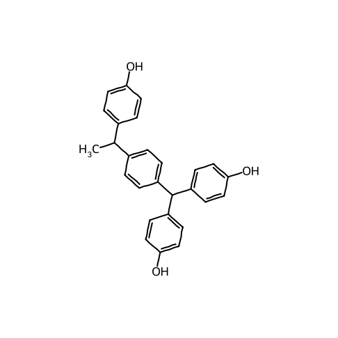 CC(c1ccc(O)cc1)c1ccc(C(c2ccc(O)cc2)c2ccc(O)cc2)cc1